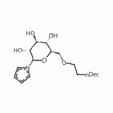 CCCCCCCCCCCCOC[C@H]1OC(n2cccc2)[C@H](O)[C@@H](O)[C@@H]1O